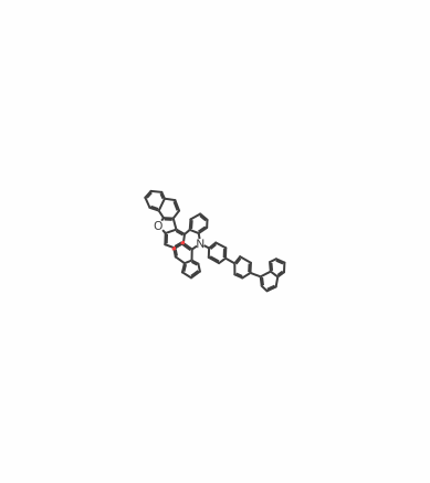 c1ccc(N(c2ccc(-c3ccc(-c4cccc5ccccc45)cc3)cc2)c2cccc3ccccc23)c(-c2cccc3oc4c5ccccc5ccc4c23)c1